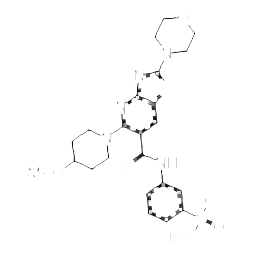 COC1CCN(c2nc3nc(N4CCOCC4)oc3cc2C(=O)Nc2cccc(P(C)(C)=O)c2)CC1